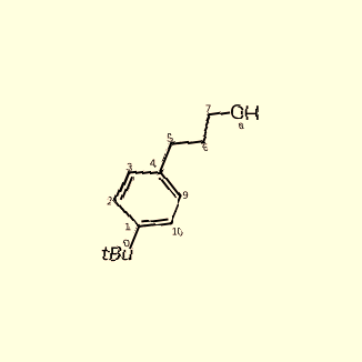 CC(C)(C)c1ccc(CCCO)cc1